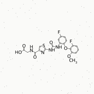 COc1cccc(F)c1Oc1ccc(F)cc1NC(=O)Nc1nc(C(=O)NCC(=O)O)cs1